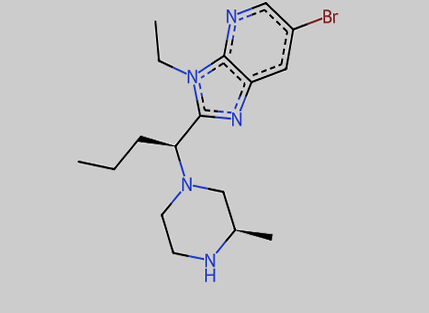 CCC[C@@H](c1nc2cc(Br)cnc2n1CC)N1CCN[C@H](C)C1